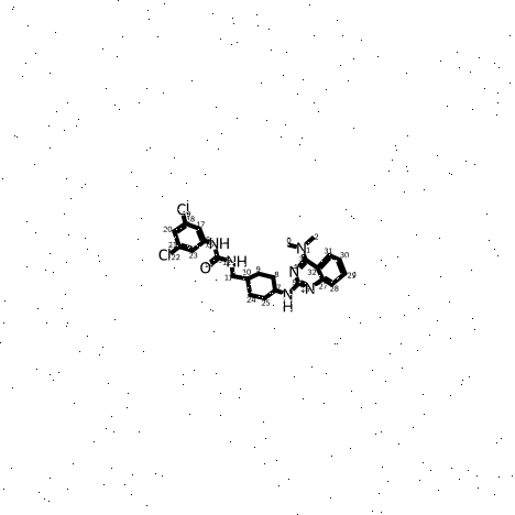 CN(C)c1nc(NC2CCC(CNC(=O)Nc3cc(Cl)cc(Cl)c3)CC2)nc2ccccc12